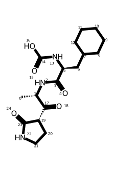 C[C@H](NC(=O)[C@H](CC1CCCCC1)NC(=O)O)C(=O)[C@@H]1CCNC1=O